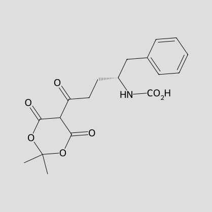 CC1(C)OC(=O)C(C(=O)CC[C@H](Cc2ccccc2)NC(=O)O)C(=O)O1